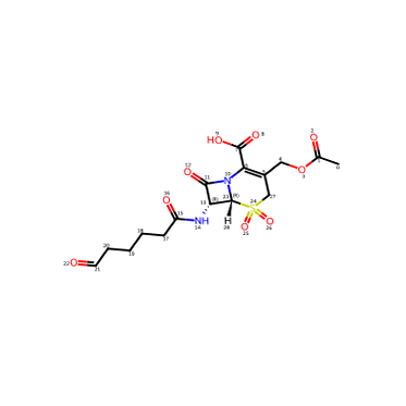 CC(=O)OCC1=C(C(=O)O)N2C(=O)[C@@H](NC(=O)CCCCC=O)[C@H]2S(=O)(=O)C1